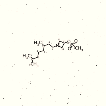 CC(C)CCCC(C)CCN1CC(OS(C)(=O)=O)C1